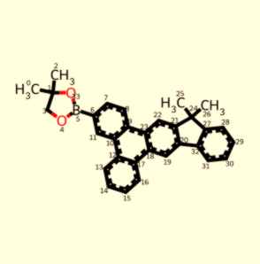 CC1(C)COB(c2ccc3c(c2)c2ccccc2c2cc4c(cc32)C(C)(C)c2ccccc2-4)O1